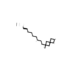 CC1(CCCCCCCC=CO)CC2(CCC2)C1